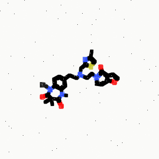 CCN1C(=O)C(C)(C)C(=O)N(C)c2cc(CCN(CCn3ccc4occc4c3=O)Cc3nc(C)cs3)ccc21